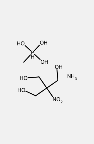 C[PH](O)(O)O.N.O=[N+]([O-])C(CO)(CO)CO